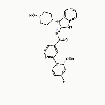 COc1cc(F)ccc1-c1cc(C(=O)/N=c2\[nH]c3ccccc3n2[C@H]2CC[C@@H](O)CC2)ccn1